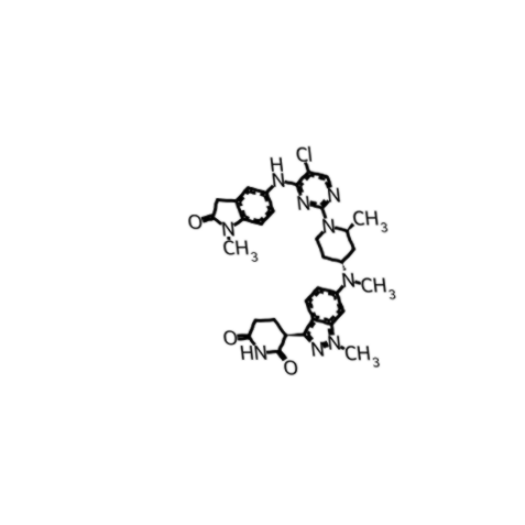 C[C@H]1C[C@H](N(C)c2ccc3c([C@@H]4CCC(=O)NC4=O)nn(C)c3c2)CCN1c1ncc(Cl)c(Nc2ccc3c(c2)CC(=O)N3C)n1